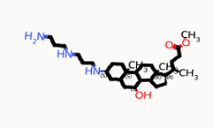 COC(=O)CC[C@@H](C)[C@H]1CCC2C3C(CC[C@@]21C)[C@@]1(C)CC[C@H](NCCCNCCCN)CC1C[C@@H]3O